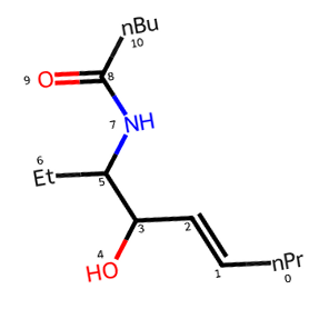 CCC/C=C/C(O)C(CC)NC(=O)CCCC